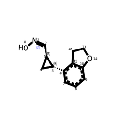 O/N=C\[C@@H]1C[C@H]1c1cccc2c1CCO2